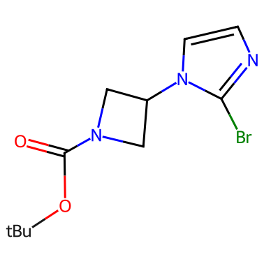 CC(C)(C)OC(=O)N1CC(n2ccnc2Br)C1